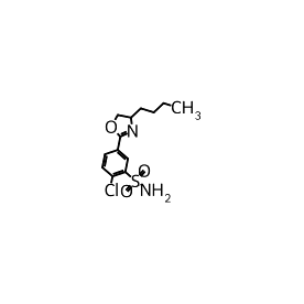 CCCCC1COC(c2ccc(Cl)c(S(N)(=O)=O)c2)=N1